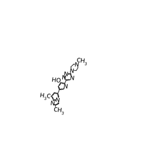 Cc1cn2cc(-c3cnc(-c4cnc(N5CCN(C)CC5)nn4)c(O)c3)cc(C)c2n1